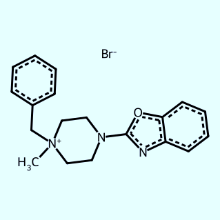 C[N+]1(Cc2ccccc2)CCN(c2nc3ccccc3o2)CC1.[Br-]